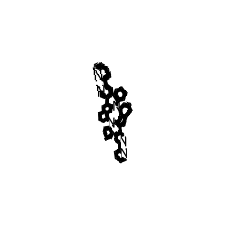 c1ccc(-n2c3cc4c(cccc4n(-c4ccccc4)c4cc5c(cccc52)cc4-c2ccc(-c4ccccn4)nc2)cc3-c2ccc(-c3ccccn3)nc2)cc1